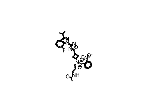 CC(=O)NCCCN(C1CC(c2nc(-n3nc(C(C)C)c4cccc(F)c43)no2)C1)S(=O)(=O)c1ccccc1[N+](=O)[O-]